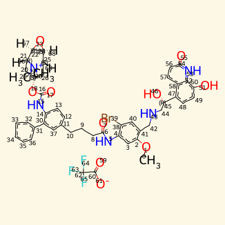 COc1cc(NC(=O)CCCc2ccc(NC(=O)O[C@@H]3C[C@@H]4[C@H]5O[C@H]5[C@H](C3)[N+]4(C)C)c(-c3ccccc3)c2)c(Br)cc1CNC[C@H](O)c1ccc(O)c2[nH]c(=O)ccc12.O=C([O-])C(F)(F)F